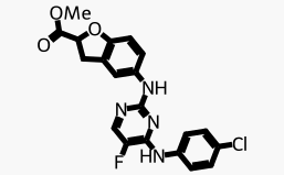 COC(=O)C1Cc2cc(Nc3ncc(F)c(Nc4ccc(Cl)cc4)n3)ccc2O1